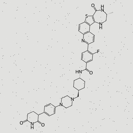 C[C@@H]1CNc2c(sc3ccc4nc(-c5ccc(C(=O)N[C@H]6CC[C@H](CN7CCN(c8ccc(C9CCC(=O)NC9=O)cc8)CC7)CC6)cc5F)ccc4c23)C(=O)N1